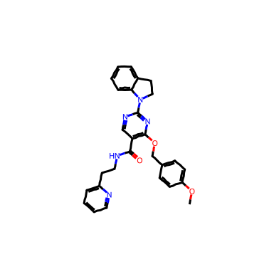 COc1ccc(COc2nc(N3CCc4ccccc43)ncc2C(=O)NCCc2ccccn2)cc1